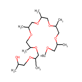 CCCCOCC(C)OCC(C)OCC(C)OCC(C)OCC(C)OCC(C)OCC(C)O